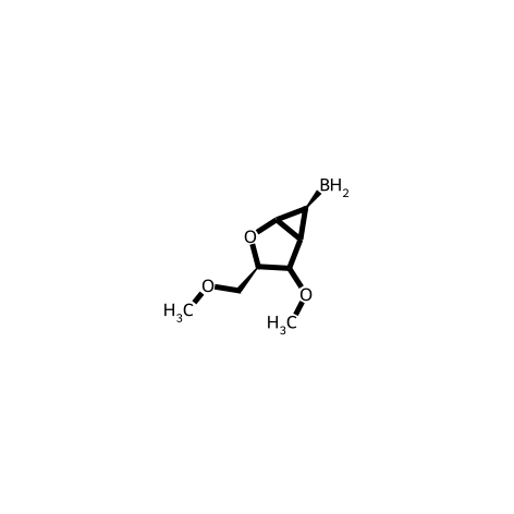 B[C@@H]1C2O[C@H](COC)C(OC)C21